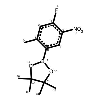 Cc1cc(F)c([N+](=O)[O-])cc1B1OC(C)(C)C(C)(C)O1